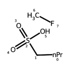 CCCCS(=O)(=O)O.CF